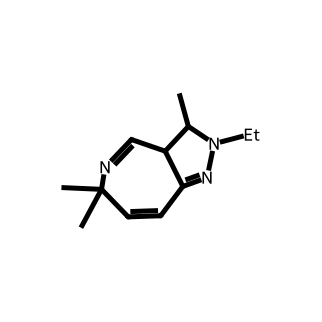 CCN1N=C2C=CC(C)(C)N=CC2C1C